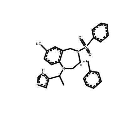 CC(c1cnc[nH]1)N1C[C@@H](Cc2ccccc2)N(S(=O)(=O)c2ccccc2)Cc2cc(C#N)ccc21